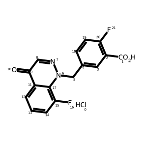 Cl.O=C(O)c1cc(Cn2ncc(=O)c3cccc(F)c32)ccc1F